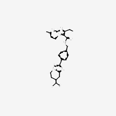 CCc1nc2nc(C)ccn2c1C(=O)NCc1ccc(-c2nc3n(n2)CCC(C(F)F)C3)cc1